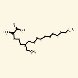 C=C(CCCC(CC)CCCCCCCCCCC)C(=O)O